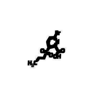 CCCS(=O)(=O)c1ccc(Br)nc1C(=O)O